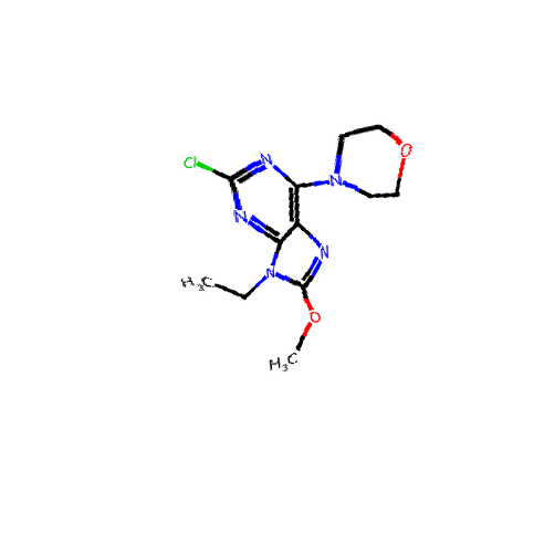 CCn1c(OC)nc2c(N3CCOCC3)nc(Cl)nc21